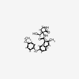 COc1ccc(Oc2ccc3cc(C)c(C(=O)NC4(CO)CCNC4=O)n3c2)cc1